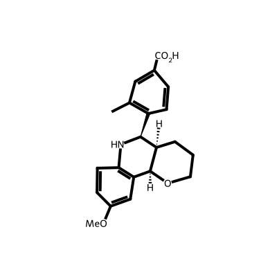 COc1ccc2c(c1)[C@@H]1OCCC[C@@H]1[C@H](c1ccc(C(=O)O)cc1C)N2